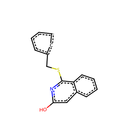 Oc1cc2ccccc2c(SCc2ccccc2)n1